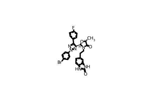 C[C@@H]1O[C@H](c2nn(-c3ccc(Br)cc3)nc2-c2ccc(F)cc2)N(CCc2ccc3[nH]c(=O)[nH]c3c2)C1=O